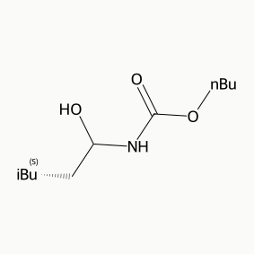 CCCCOC(=O)NC(O)C[C@@H](C)CC